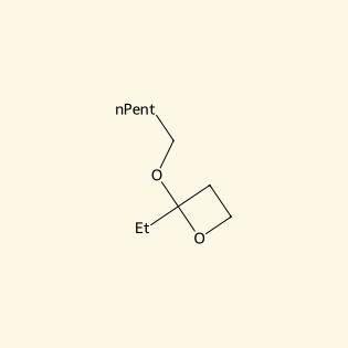 CCCCCCOC1(CC)CCO1